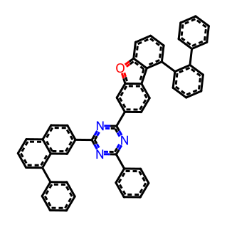 c1ccc(-c2nc(-c3ccc4c(c3)oc3cccc(-c5ccccc5-c5ccccc5)c34)nc(-c3ccc4cccc(-c5ccccc5)c4c3)n2)cc1